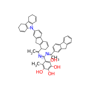 C=C(/N=C(\N=C(/C)c1ccc2c(c1)Cc1ccccc1-2)c1c(C)c(O)c(O)c(O)c1O)C1CC=CC2=C1Cc1cc(-n3c4c(c5c3C=CCC5)CCC=C4)ccc12